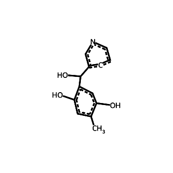 Cc1cc(O)c(C(O)c2cccnc2)cc1O